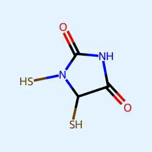 O=C1NC(=O)N(S)C1S